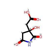 O=C(O)CC1(O)CC(=O)NC1=O